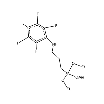 CCO[Si](CCCNc1c(F)c(F)c(F)c(F)c1F)(OC)OCC